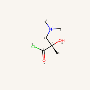 CN(C)C[C@](C)(O)C(=O)Cl